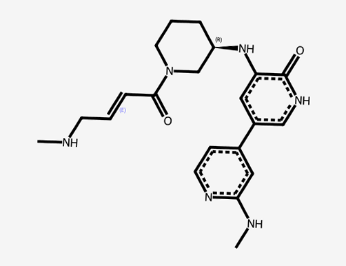 CNC/C=C/C(=O)N1CCC[C@@H](Nc2cc(-c3ccnc(NC)c3)c[nH]c2=O)C1